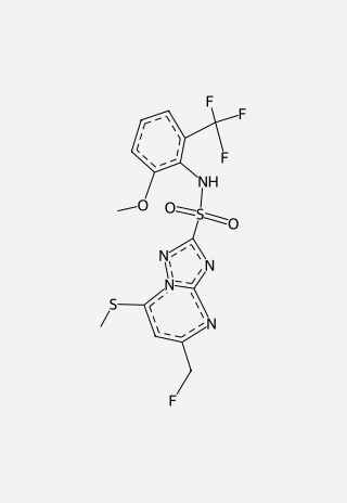 COc1cccc(C(F)(F)F)c1NS(=O)(=O)c1nc2nc(CF)cc(SC)n2n1